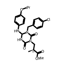 COC(=O)[C@@H](C)CN1C(=O)NC(Nc2ccc(OC(C)C)cc2)N(Cc2ccc(Cl)cc2)C1=O